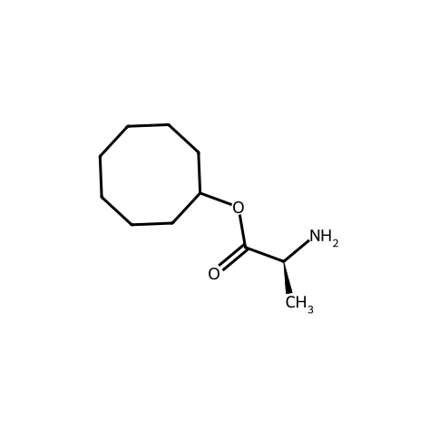 C[C@H](N)C(=O)OC1CCCCCCC1